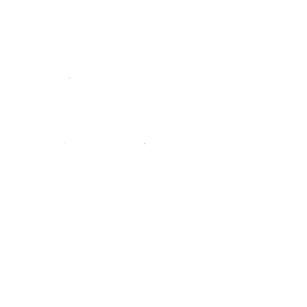 CCC(C)(C)C(=O)OC(C)(C)C1Cc2cccc3cccc1c23